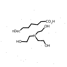 CCCCCCCCCCCCCCCC(=O)O.OCCN(CCO)CCO